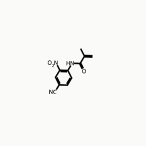 C=C(C)C(=O)Nc1ccc(C#N)cc1[N+](=O)[O-]